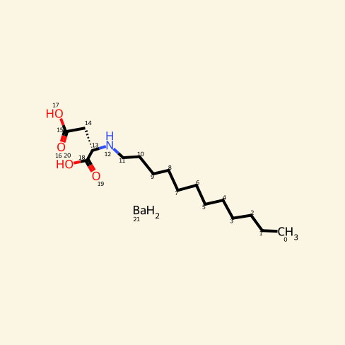 CCCCCCCCCCCCN[C@@H](CC(=O)O)C(=O)O.[BaH2]